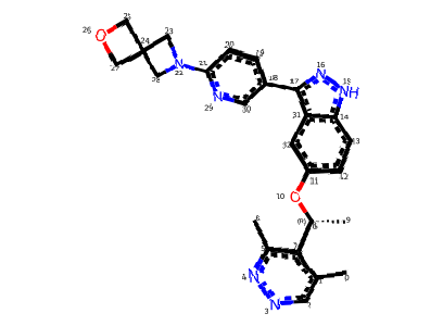 Cc1cnnc(C)c1[C@@H](C)Oc1ccc2[nH]nc(-c3ccc(N4CC5(COC5)C4)nc3)c2c1